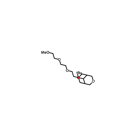 COCCOCCOCCN1CC2COCC(C1)C2OC(C)(C)C